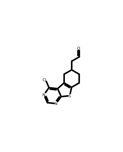 O=CCC1CCc2sc3ncnc(Cl)c3c2C1